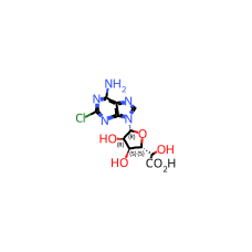 Nc1nc(Cl)nc2c1ncn2[C@@H]1O[C@H](C(O)C(=O)O)[C@@H](O)[C@H]1O